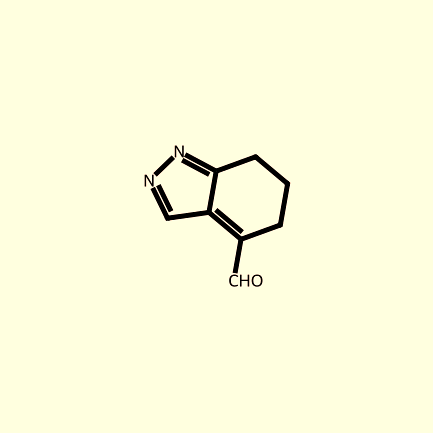 O=CC1=C2C=NN=C2CCC1